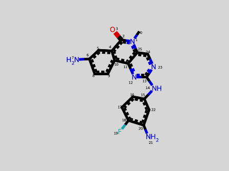 Cn1c(=O)c2cc(N)ccc2c2nc(Nc3ccc(F)c(N)c3)ncc21